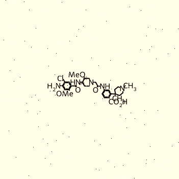 COc1cc(N)c(Cl)cc1C(=O)N[C@@H]1CCN(CC(=O)Nc2ccc(C(=O)O)c(C3(C)CCN(C)CC3)c2)C[C@@H]1OC